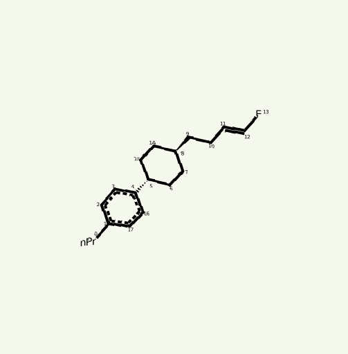 CCCc1ccc([C@H]2CC[C@H](CC/C=C/F)CC2)cc1